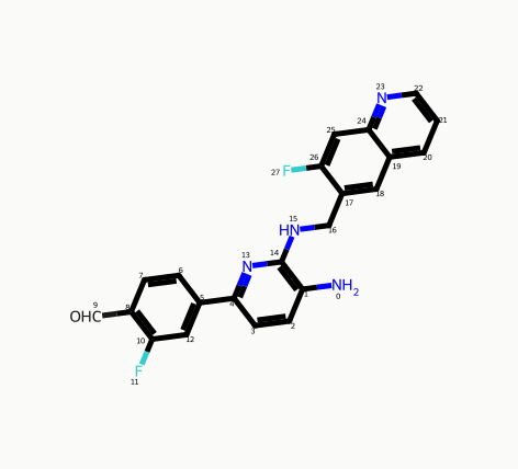 Nc1ccc(-c2ccc(C=O)c(F)c2)nc1NCc1cc2cccnc2cc1F